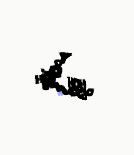 C[C@@H](NS(=O)(=O)CC/C=C/Cc1cc(O)c2c(c1)COC(=O)N2)c1cccc(OCC2CC2)c1